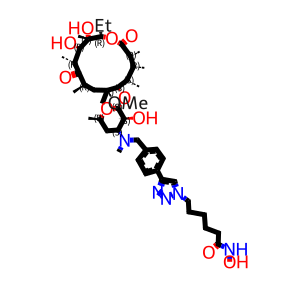 CC[C@H]1OC(=O)[C@H](C)[C@H](C)[C@H](C)[C@H](O[C@@H]2O[C@H](C)C[C@H](N(C)Cc3ccc(-c4cn(CCCCCC(=O)NO)nn4)cc3)[C@@H]2O)[C@](C)(OC)C[C@@H](C)C(=O)[C@H](C)[C@@H](O)[C@]1(C)O